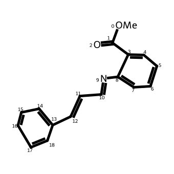 COC(=O)c1ccccc1/N=C/C=C/c1ccccc1